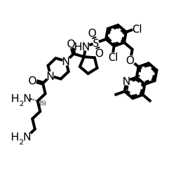 Cc1cc(C)c2cccc(OCc3c(Cl)ccc(S(=O)(=O)NC4(C(=O)N5CCN(C(=O)C[C@@H](N)CCCN)CC5)CCCC4)c3Cl)c2n1